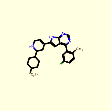 CCOC(=O)C1CCC(C2CC(c3cc4c(-c5cc(F)ccc5OC)ncnc4[nH]3)=CCN2)CC1